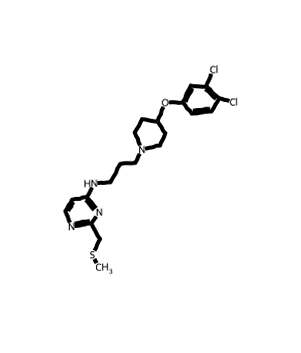 CSCc1nccc(NCCCN2CCC(Oc3ccc(Cl)c(Cl)c3)CC2)n1